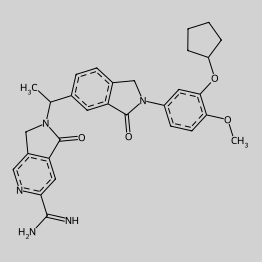 COc1ccc(N2Cc3ccc(C(C)N4Cc5cnc(C(=N)N)cc5C4=O)cc3C2=O)cc1OC1CCCC1